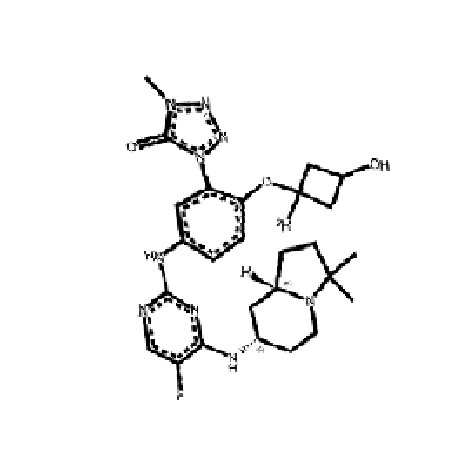 [2H]C1(Oc2ccc(Nc3ncc(F)c(N[C@H]4CCN5[C@@H](CCC5(C)C)C4)n3)cc2-n2nnn(C)c2=O)CC(O)C1